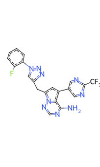 Nc1ncnn2c(Cc3cn(-c4ccccc4F)nn3)cc(-c3cnc(C(F)(F)F)nc3)c12